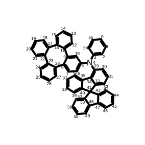 c1ccc(N(c2ccc3c(c2)-c2ccccc2-c2ccccc2-c2ccccc2-3)c2cccc3c2-c2ccccc2C32c3ccccc3-c3ccccc32)cc1